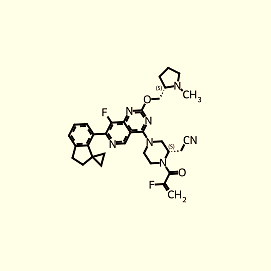 C=C(F)C(=O)N1CCN(c2nc(OC[C@@H]3CCCN3C)nc3c(F)c(-c4cccc5c4C4(CC5)CC4)ncc23)C[C@@H]1CC#N